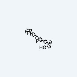 O=C(c1ccc(-c2ccc(OCC3CCN(CC4(C(F)(F)F)CCC4)CC3)c(F)c2F)cc1)N1CCCC1CO